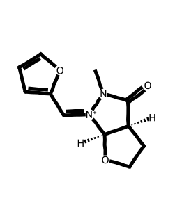 CN1C(=O)[C@H]2CCO[C@H]2/[N+]1=C/c1ccco1